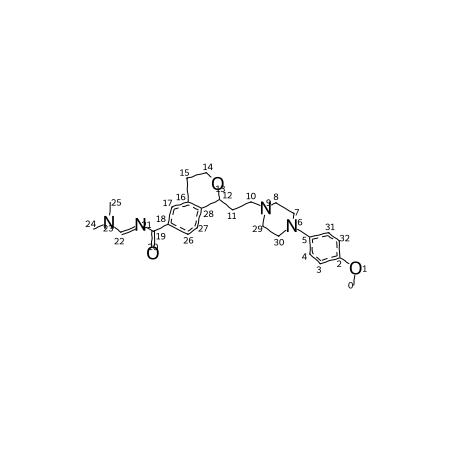 COc1ccc(N2CCN(CCC3OCCc4cc(C(=O)/N=C/N(C)C)ccc43)CC2)cc1